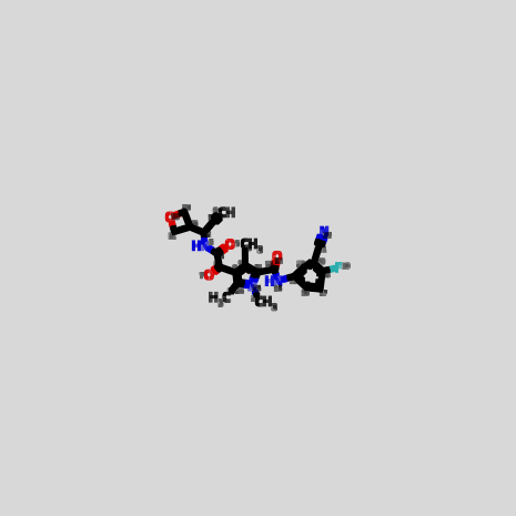 C#CC(NC(=O)C(=O)c1c(C)c(C(=O)Nc2ccc(F)c(C#N)c2)n(C)c1C)C1COC1